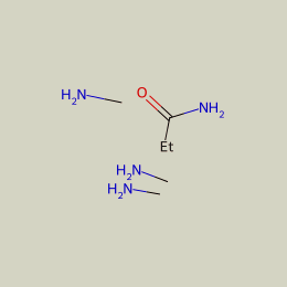 CCC(N)=O.CN.CN.CN